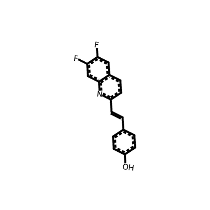 Oc1ccc(/C=C/c2ccc3cc(F)c(F)cc3n2)cc1